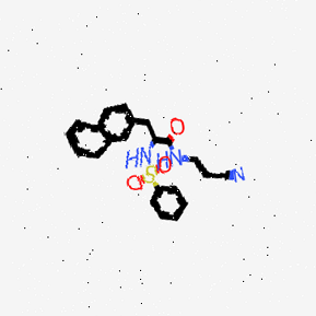 N#CCCNC(=O)C(Cc1ccc2ccccc2c1)NS(=O)(=O)c1ccccc1